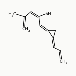 C=C/C=C1\CC1=C/C(S)=C\C(=C)C